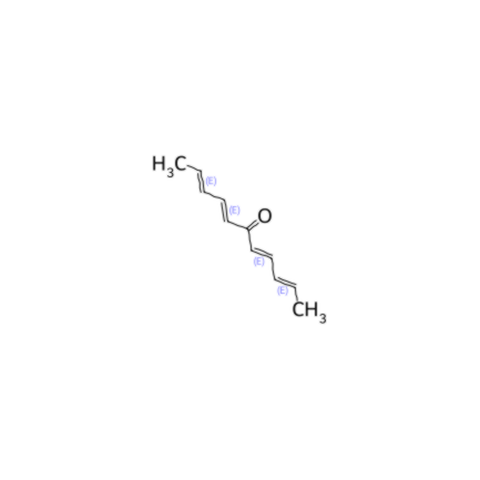 C/C=C/C=C/C(=O)/C=C/C=C/C